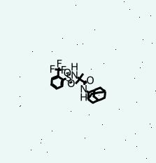 CC(C)(NS(=O)(=O)c1ccccc1C(F)(F)F)C(=O)NC1C2CC3CC(C2)CC1C3